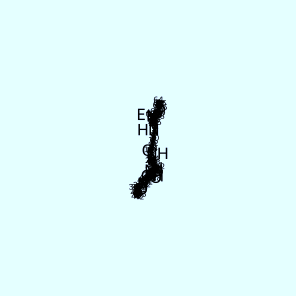 CCn1c2ccc(CNCCCCCCCC(=O)NCc3ccc(-c4c5ncn(CC6(O)CCN(C(=O)C[C@@H](C)c7ccccc7)CC6)c(=O)c5nn4C)cc3)cc2c2ccc(-c3cc(C)cs3)cc21